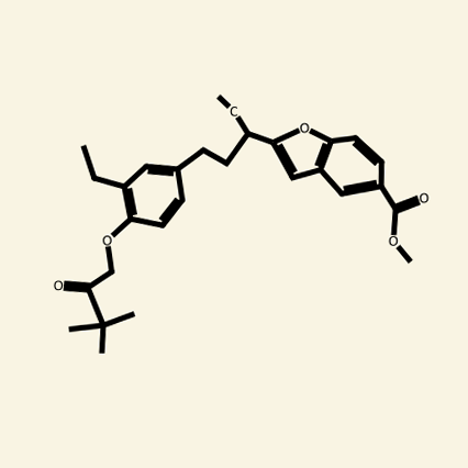 CCc1cc(CCC(CC)c2cc3cc(C(=O)OC)ccc3o2)ccc1OCC(=O)C(C)(C)C